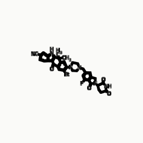 CCc1cc2c(cc1N1CCN(Cc3cc(F)c4c(c3)CN(C3CCC(=O)NC3=O)C4=O)CC1)C(C)(C)c1[nH]c3cc(C#N)ccc3c1C2=O